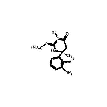 CCN1C(=O)C[C@@](C)(c2cccc(N)c2F)N/C1=N\C(=O)O